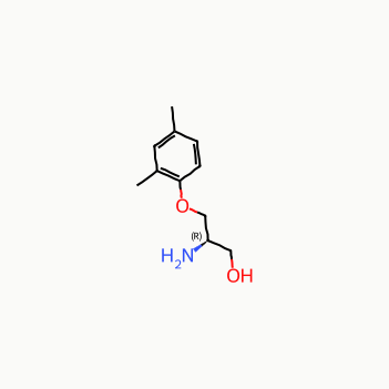 Cc1ccc(OC[C@H](N)CO)c(C)c1